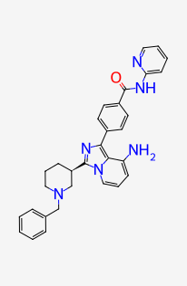 Nc1cccn2c([C@@H]3CCCN(Cc4ccccc4)C3)nc(-c3ccc(C(=O)Nc4ccccn4)cc3)c12